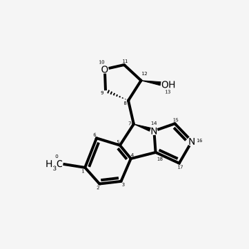 Cc1ccc2c(c1)[C@@H]([C@@H]1COC[C@H]1O)n1cncc1-2